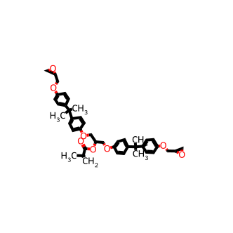 C=C(C)C(=O)OC(COc1ccc(C(C)(C)c2ccc(OCC3CO3)cc2)cc1)COc1ccc(C(C)(C)c2ccc(OCC3CO3)cc2)cc1